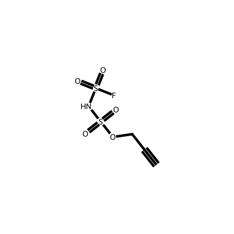 C#CCOS(=O)(=O)NS(=O)(=O)F